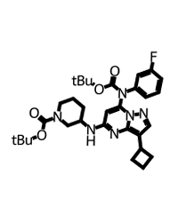 CC(C)(C)OC(=O)N1CCCC(Nc2cc(N(C(=O)OC(C)(C)C)c3cccc(F)c3)n3ncc(C4CCC4)c3n2)C1